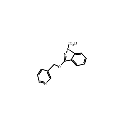 CCOC(=O)n1nc(OCc2ccnnc2)c2ccccc21